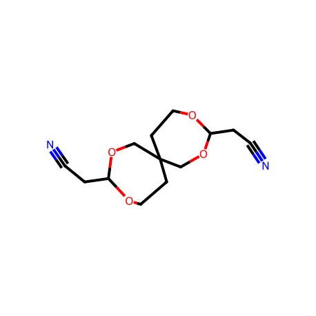 N#CCC1OCCC2(CCOC(CC#N)OC2)CO1